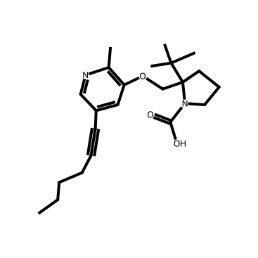 CCCCC#Cc1cnc(C)c(OCC2(C(C)(C)C)CCCN2C(=O)O)c1